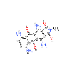 Cn1c(=O)c2c(N)c3c(=O)c4c(N)ccc(N)c4c(=O)c3c(N)c2c1=O